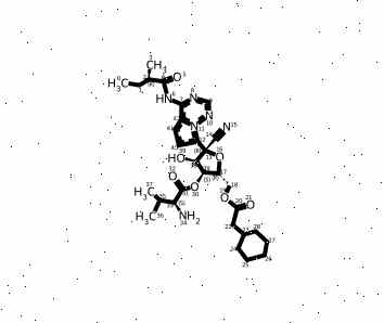 CC[C@@H](C)C(=O)Nc1ncnn2c([C@]3(C#N)O[C@H](COC(=O)CC4CCCCC4)[C@@H](OC(=O)[C@@H](N)C(C)C)[C@H]3O)ccc12